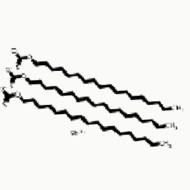 CCCCCCCCCCCCCCCCCCOC([O-])=S.CCCCCCCCCCCCCCCCCCOC([O-])=S.CCCCCCCCCCCCCCCCCCOC([O-])=S.[Sb+3]